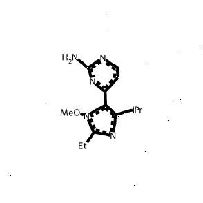 CCc1nc(C(C)C)c(-c2ccnc(N)n2)n1OC